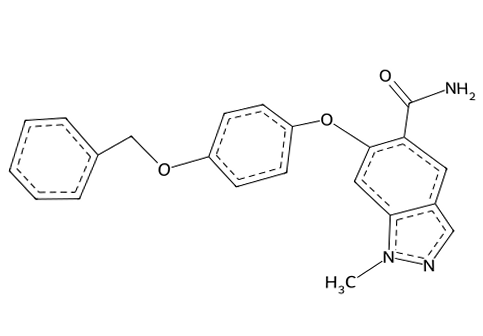 Cn1ncc2cc(C(N)=O)c(Oc3ccc(OCc4ccccc4)cc3)cc21